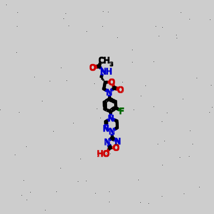 CC(=O)NC[C@H]1CN(c2ccc(N3C=NN(c4noc(O)n4)CC3)c(F)c2)C(=O)O1